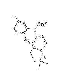 CC1(C)CCc2cc(C(C(=O)O)c3cc(Cl)ccc3[N+](=O)[O-])ccc2O1